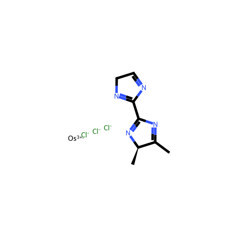 CC1=NC(C2=NCC=N2)=N[C@@H]1C.[Cl-].[Cl-].[Cl-].[Os+3]